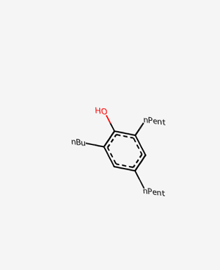 CCCCCc1cc(CCCC)c(O)c(CCCCC)c1